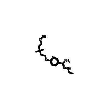 CCN/N=C(\N)c1ccc(OCCC(C)(C)CCOS)nc1